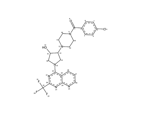 O=C(c1ccc(Cl)cc1)N1CCN(C2CN(c3nc(C(F)(F)F)nc4ncccc34)CC2O)CC1